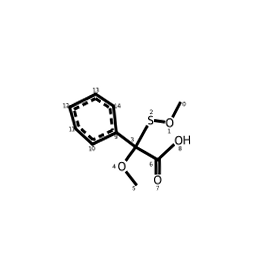 COSC(OC)(C(=O)O)c1ccccc1